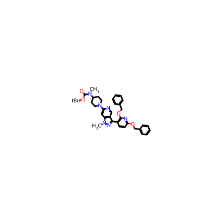 CN(C(=O)OC(C)(C)C)C1CCN(c2cc3c(cn2)c(-c2ccc(OCc4ccccc4)nc2OCc2ccccc2)nn3C)CC1